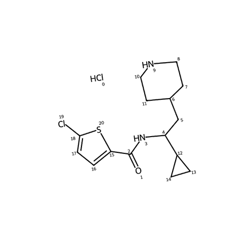 Cl.O=C(NC(CC1CCNCC1)C1CC1)c1ccc(Cl)s1